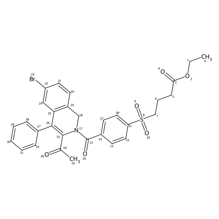 CCOC(=O)CCCS(=O)(=O)c1ccc(C(=O)N2Cc3ccc(Br)cc3C(c3ccccc3)=C2C(C)=O)cc1